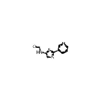 O=CNc1cnc(-c2cccnc2)s1